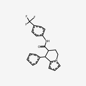 O=C(Nc1ccc(C(F)(F)F)cc1)C1CCn2cccc2C1c1ccccc1